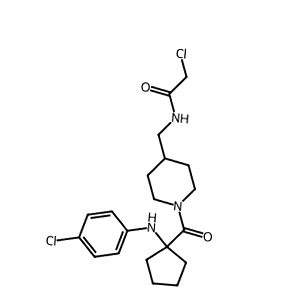 O=C(CCl)NCC1CCN(C(=O)C2(Nc3ccc(Cl)cc3)CCCC2)CC1